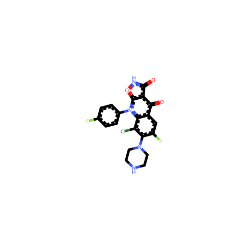 O=c1[nH]oc2c1c(=O)c1cc(F)c(N3CCNCC3)c(Cl)c1n2-c1ccc(F)cc1